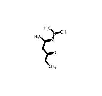 CCC(=O)CC(C)=NN(C)C